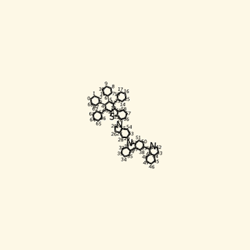 c1ccc(-c2c(-c3ccccc3)c(-c3ccccc3)c3c(sc4c(-n5ccc6cc(-n7c8ccccc8c8cc(-c9nccc%10ccccc9%10)ccc87)ccc65)cccc43)c2-c2ccccc2)cc1